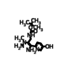 CN(N)/C(CNC(=O)OC(C)(C)C)=C(\N)c1ccc(O)cn1